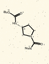 CNC(=O)N1CC[C@@H](NC(=O)OCC(C)C)C1